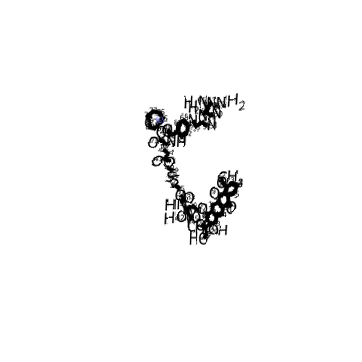 COc1cccc2c1C(=O)c1cc3c(cc1C2=O)C[C@@](O)(C(=O)CO)C[C@@H]3O[C@H]1C[C@@H](NC(=O)OCCSSCCOC(=O)CC[C@@H](NC(=O)c2ccc(NCc3cnc4nc(N)nc(N)c4n3)cc2)C(=O)OC2/C=C/CCCCC2)[C@H](O)[C@H](C)O1